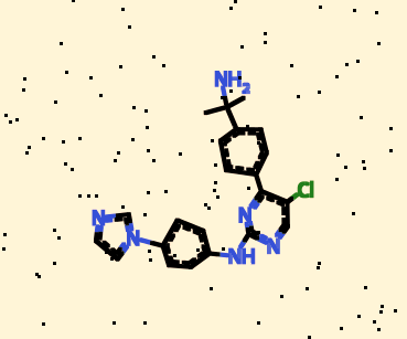 CC(C)(N)c1ccc(-c2nc(Nc3ccc(-n4ccnc4)cc3)ncc2Cl)cc1